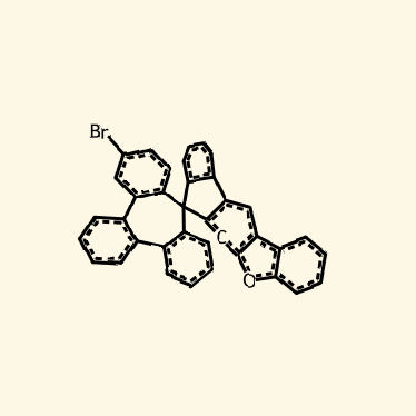 Brc1ccc2c(c1)-c1ccccc1-c1ccccc1C21c2ccccc2-c2cc3c(cc21)oc1ccccc13